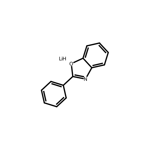 [LiH].c1ccc(-c2nc3ccccc3o2)cc1